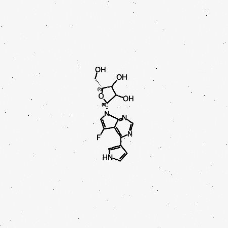 OC[C@H]1O[C@@H](n2cc(F)c3c(-c4cc[nH]c4)ncnc32)C(O)C1O